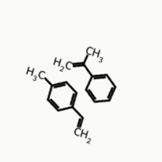 C=C(C)c1ccccc1.C=Cc1ccc(C)cc1